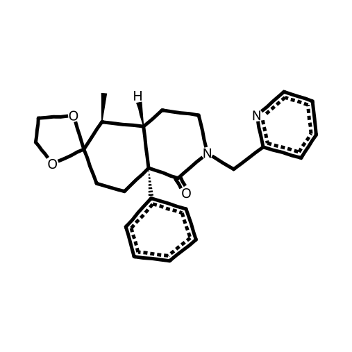 C[C@H]1[C@@H]2CCN(Cc3ccccn3)C(=O)[C@@]2(c2ccccc2)CCC12OCCO2